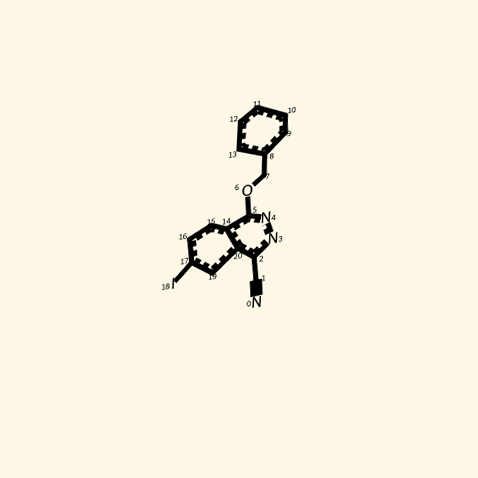 N#Cc1nnc(OCc2ccccc2)c2ccc(I)cc12